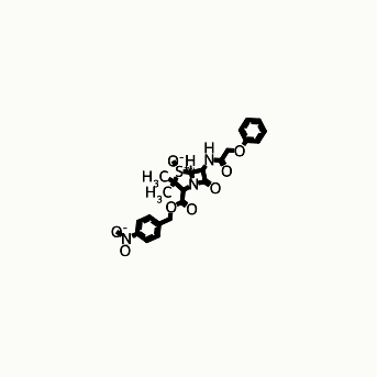 CC1(C)C(C(=O)OCc2ccc([N+](=O)[O-])cc2)N2C(=O)C(NC(=O)COc3ccccc3)[C@@H]2[S+]1[O-]